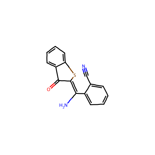 N#Cc1ccccc1C(N)=C1Sc2ccccc2C1=O